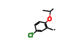 [CH2]c1cc(Cl)ccc1OC(C)C